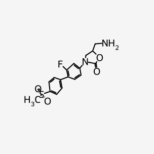 CS(=O)(=O)c1ccc(-c2ccc(N3CC(CN)OC3=O)cc2F)cc1